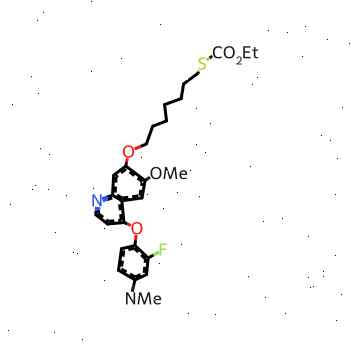 CCOC(=O)SCCCCCCCOc1cc2nccc(Oc3ccc(NC)cc3F)c2cc1OC